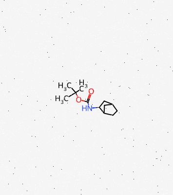 CC(C)(C)OC(=O)N[C@H]1CC2CCC1C2